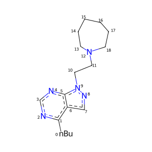 C[CH]CCc1ncnc2c1cnn2CCN1CCCCCC1